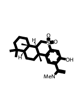 C=C(NC)c1cc2c(cc1O)S(=O)(=O)C[C@@H]1[C@@]3(C)CCCC(C)(C)[C@@H]3CC[C@@]21C